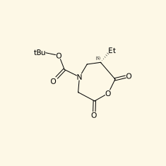 CC[C@H]1CN(C(=O)OC(C)(C)C)CC(=O)OC1=O